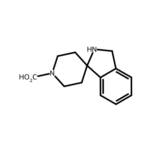 O=C(O)N1CCC2(CC1)NCc1ccccc12